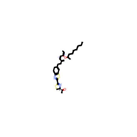 C=C(/C=C\C(=C/C)OC(C)CCCCCCC)CCC1=Cc2sc(C3=N[C@@H](C(C)=O)CS3)nc2CC1